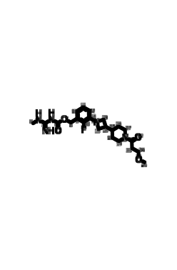 CNC(=N)NC(=O)OCc1cccc(N2CC(C3CCN(C(=O)CCOC)CC3)C2)c1F